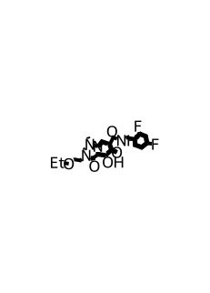 CCOCCN1CN(C)n2cc(C(=O)NCc3ccc(F)cc3F)c(=O)c(O)c2C1=O